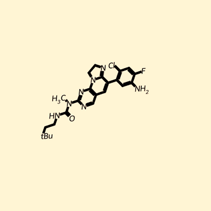 CN(C(=O)NCCC(C)(C)C)c1ncc2c(n1)N1CCN=C1C(c1cc(N)c(F)cc1Cl)=C2